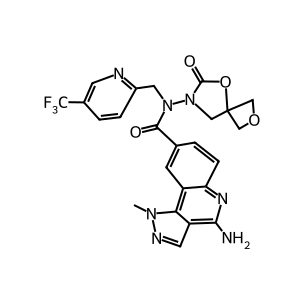 Cn1ncc2c(N)nc3ccc(C(=O)N(Cc4ccc(C(F)(F)F)cn4)N4CC5(COC5)OC4=O)cc3c21